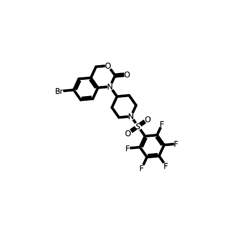 O=C1OCc2cc(Br)ccc2N1C1CCN(S(=O)(=O)c2c(F)c(F)c(F)c(F)c2F)CC1